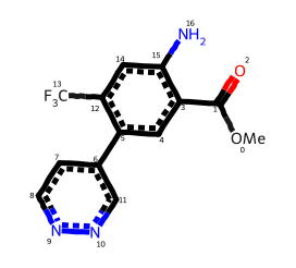 COC(=O)c1cc(-c2ccnnc2)c(C(F)(F)F)cc1N